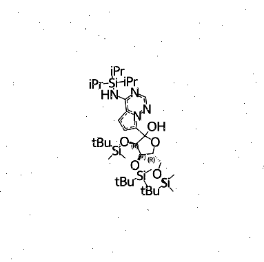 CC(C)[Si](Nc1ncnn2c(C3(O)O[C@H](CO[Si](C)(C)C(C)(C)C)[C@@H](O[Si](C)(C)C(C)(C)C)[C@H]3O[Si](C)(C)C(C)(C)C)ccc12)(C(C)C)C(C)C